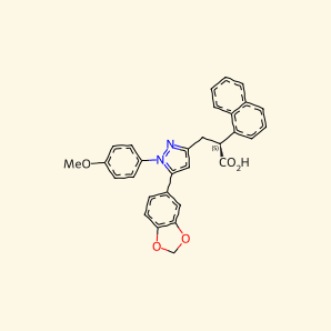 COc1ccc(-n2nc(C[C@H](C(=O)O)c3cccc4ccccc34)cc2-c2ccc3c(c2)OCO3)cc1